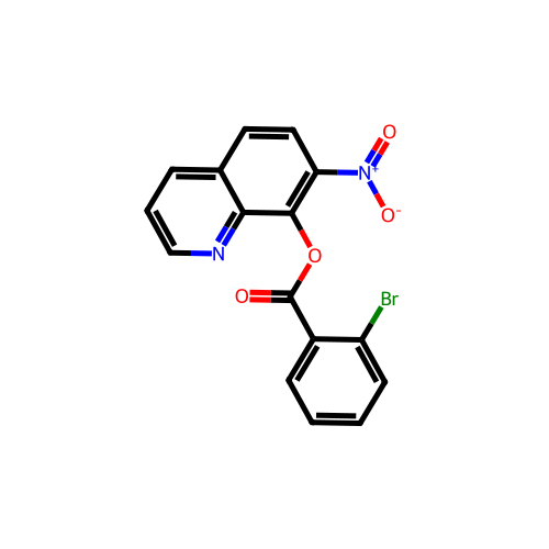 O=C(Oc1c([N+](=O)[O-])ccc2cccnc12)c1ccccc1Br